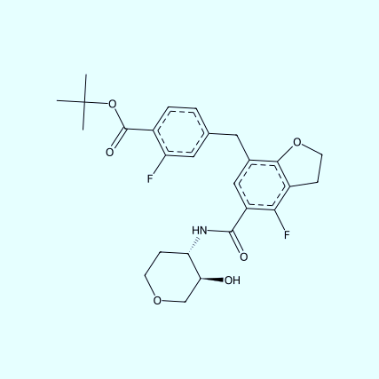 CC(C)(C)OC(=O)c1ccc(Cc2cc(C(=O)N[C@H]3CCOC[C@@H]3O)c(F)c3c2OCC3)cc1F